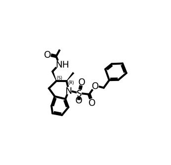 CC(=O)NC[C@@H]1Cc2ccccc2N(S(=O)(=O)C(=O)OCc2ccccc2)[C@@H]1C